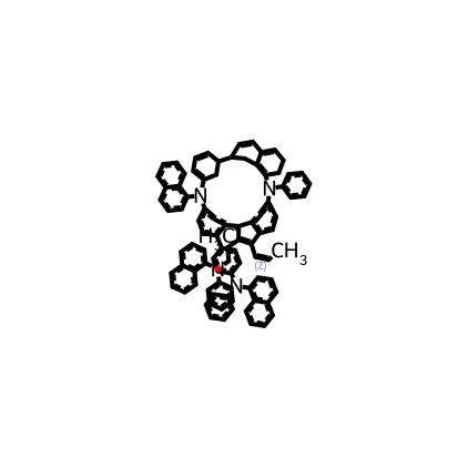 C/C=C\C1=C(CCN(c2ccccc2)c2cccc3ccccc23)C2(C)c3cc(ccc31)N(c1ccccc1)C1=C3CC(C=CC3=CCC1)C1C=CC=C(C1)N(c1cccc3ccccc13)c1ccc(-c3ccc(N(c4ccccc4)c4cccc5ccccc45)cc3)c2c1